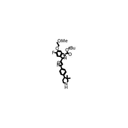 COCCOc1cc2c(cc1F)c(-c1cc(-c3ccc(C4CCNCC4(C)C)cc3)no1)nn2C(=O)OC(C)(C)C